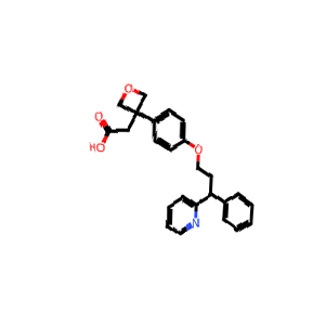 O=C(O)CC1(c2ccc(OCCC(c3ccccc3)c3ccccn3)cc2)COC1